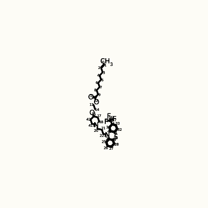 CC=CCCCCCCCC(=O)OCCOC1CCN(CCCN2c3ccccc3Sc3ccc(C(F)(F)F)cc32)CC1